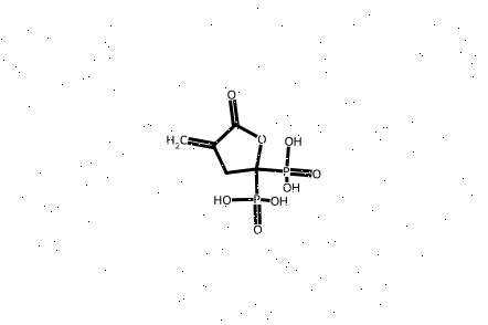 C=C1CC(P(=O)(O)O)(P(=O)(O)O)OC1=O